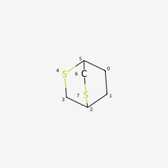 C1CC2CSC1CS2